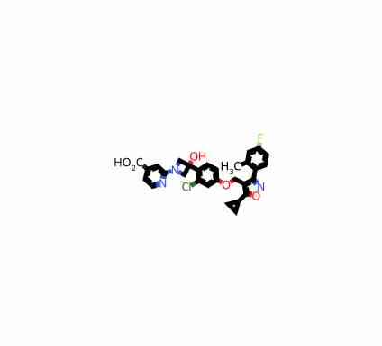 Cc1cc(F)ccc1-c1noc(C2CC2)c1COc1ccc(C2(O)CN(c3cc(C(=O)O)ccn3)C2)c(Cl)c1